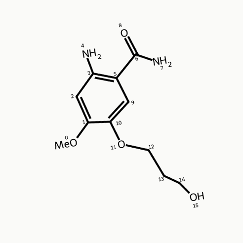 COc1cc(N)c(C(N)=O)cc1OCCCO